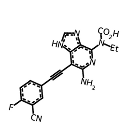 CCN(C(=O)O)c1nc(N)c(C#Cc2ccc(F)c(C#N)c2)c2[nH]cnc12